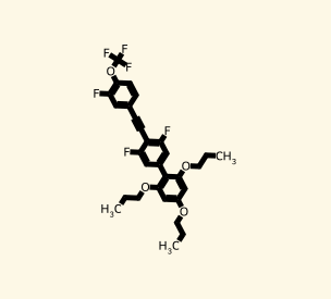 CCCOc1cc(OCCC)c(-c2cc(F)c(C#Cc3ccc(OC(F)(F)F)c(F)c3)c(F)c2)c(OCCC)c1